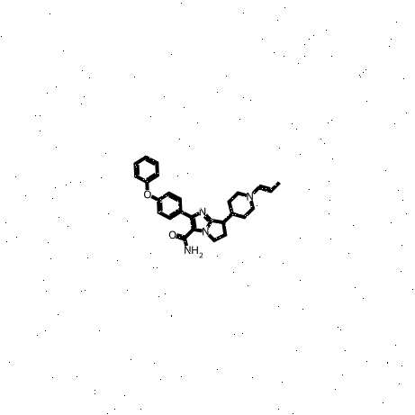 CC=CN1CCC(C2CCn3c2nc(-c2ccc(Oc4ccccc4)cc2)c3C(N)=O)CC1